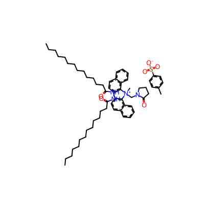 CCCCCCCCCCCCCC(=O)Nc1ccc2ccccc2c1[N+](C)(CN1CCCC1=O)c1c(NC(=O)CCCCCCCCCCCCC)ccc2ccccc12.Cc1ccc(S(=O)(=O)[O-])cc1